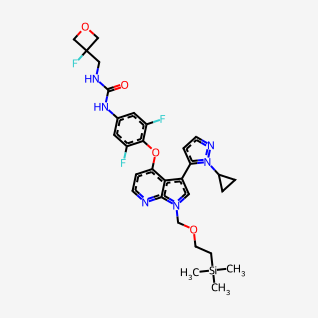 C[Si](C)(C)CCOCn1cc(-c2ccnn2C2CC2)c2c(Oc3c(F)cc(NC(=O)NCC4(F)COC4)cc3F)ccnc21